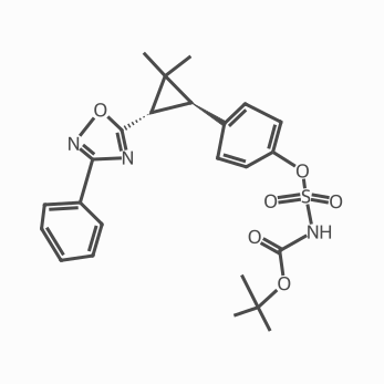 CC(C)(C)OC(=O)NS(=O)(=O)Oc1ccc([C@H]2[C@H](c3nc(-c4ccccc4)no3)C2(C)C)cc1